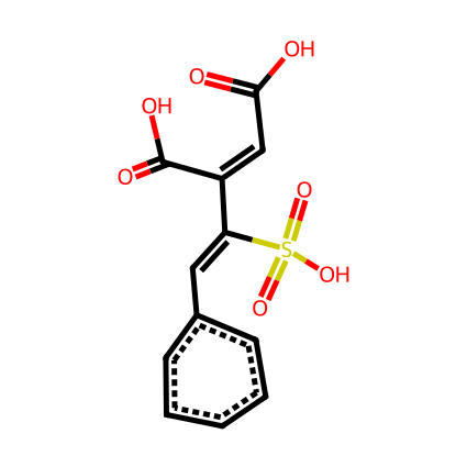 O=C(O)/C=C(\C(=O)O)C(=Cc1ccccc1)S(=O)(=O)O